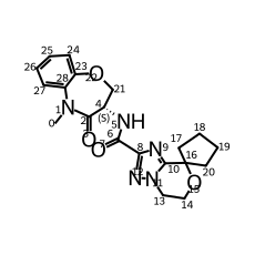 CN1C(=O)[C@@H](NC(=O)c2nc3n(n2)CCOC32CCCC2)COc2ccccc21